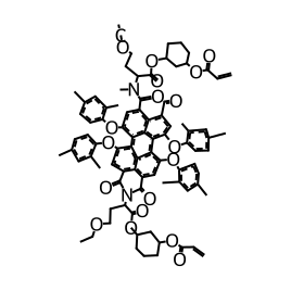 C=CC(=O)OC1CCCC(OC(=O)C(CCOCC)N(C)C(=O)c2cc(Oc3ccc(C)cc3C)c3c4c(Oc5ccc(C)cc5C)cc5c6c(cc(Oc7ccc(C)cc7C)c(c7c(Oc8ccc(C)cc8C)cc(C=O)c2c73)c64)C(=O)N(C(CCOCC)C(=O)OC2CCCC(OC(=O)C=C)C2)C5=O)C1